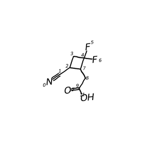 N#CC1CC(F)(F)C1CC(=O)O